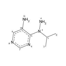 CC(C)N(N)c1ncncc1N